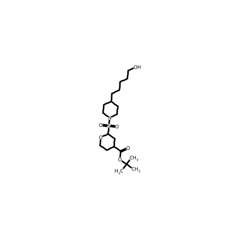 CC(C)(C)OC(=O)C1CCOC(S(=O)(=O)N2CCC(CCCCCO)CC2)C1